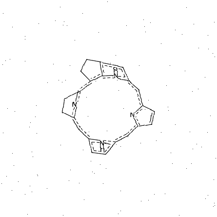 C1=Cc2cc3cc4c([nH]3)c(c3nc(cc5ccc(cc1n2)[nH]5)CC3)CC4